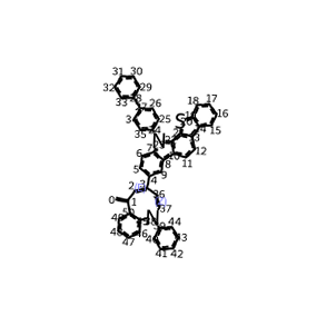 C=C1/C=C(c2ccc3c(c2)c2ccc4c5ccccc5sc4c2n3-c2ccc(-c3ccccc3)cc2)\C=C/N(c2ccccc2)c2ccccc21